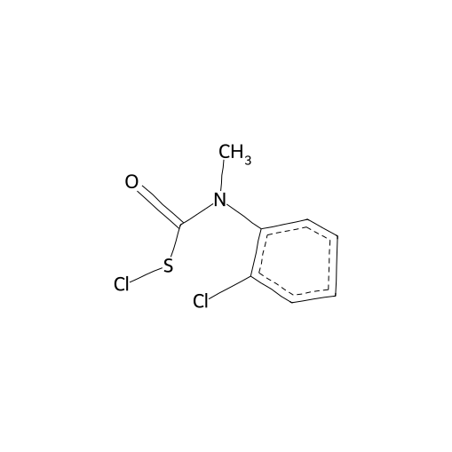 CN(C(=O)SCl)c1ccccc1Cl